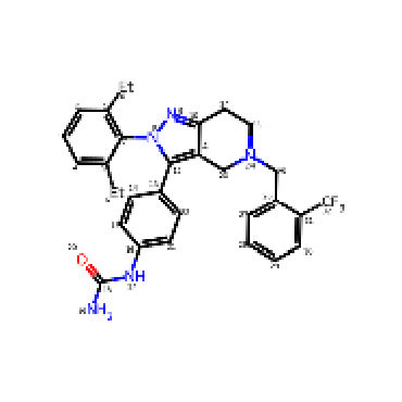 CCc1cccc(CC)c1-n1nc2c(c1-c1ccc(NC(N)=O)cc1)CN(Cc1ccccc1C(F)(F)F)CC2